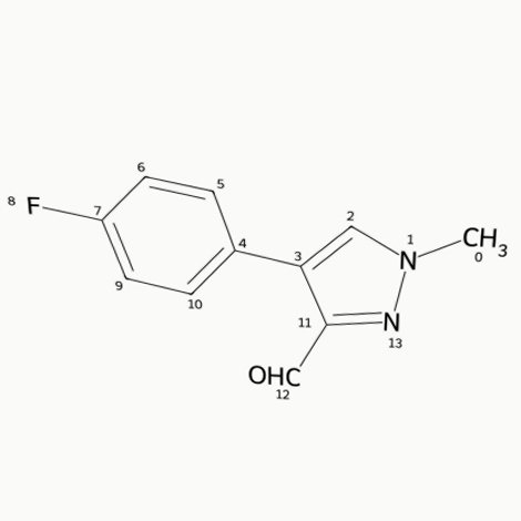 Cn1cc(-c2ccc(F)cc2)c(C=O)n1